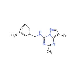 Cc1nc(NCc2cccc([N+](=O)[O-])c2)n2ncc(C(C)C)c2n1